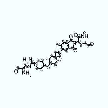 CNC(=O)C(CCC=O)N1C(=O)c2cc(F)c(N3CC4(CCN(CC5CCN(/C(N)=N/C=C(\N)C=O)CC5)CC4)C3)cc2C1=O